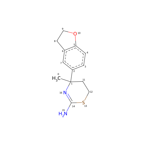 CC1(c2ccc3c(c2)CCO3)CCSC(N)=N1